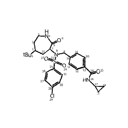 CC(C)(C)C1CCNC(=O)C(N(Cc2ccc(C(=O)NC3CC3)cc2)S(=O)(=O)c2ccc(Cl)cc2)C1